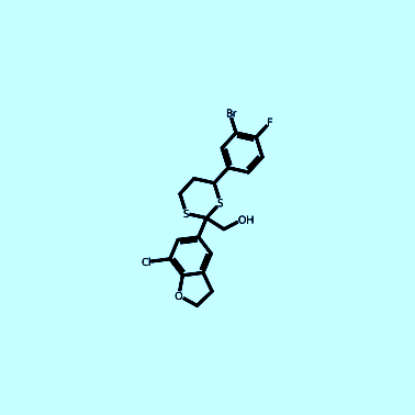 OCC1(c2cc(Cl)c3c(c2)CCO3)SCCC(c2ccc(F)c(Br)c2)S1